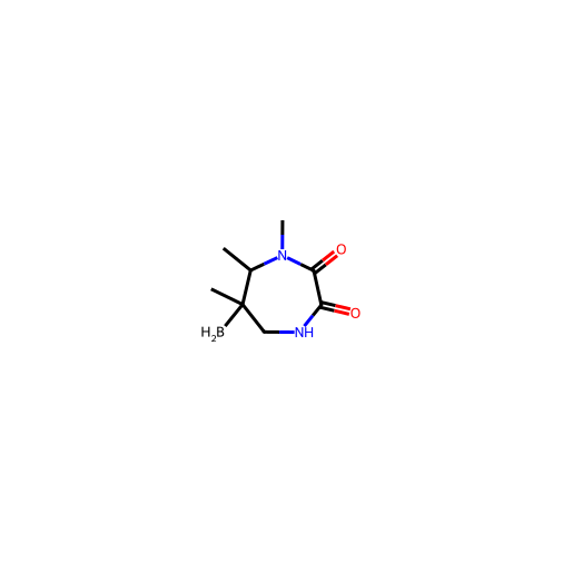 BC1(C)CNC(=O)C(=O)N(C)C1C